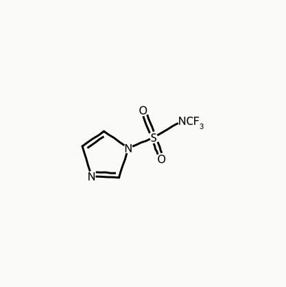 O=S(=O)(NC(F)(F)F)n1ccnc1